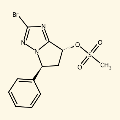 CS(=O)(=O)O[C@@H]1C[C@@H](c2ccccc2)n2nc(Br)nc21